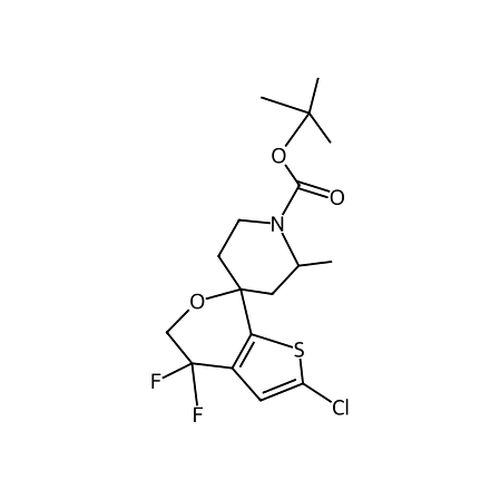 CC1CC2(CCN1C(=O)OC(C)(C)C)OCC(F)(F)c1cc(Cl)sc12